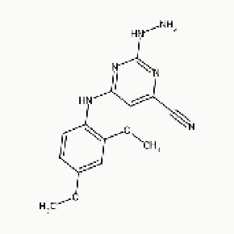 COc1ccc(Nc2cc(C#N)nc(NN)n2)c(OC)c1